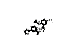 CC(NNC(=O)c1cc(N)ccc1NC1CC1)c1cccc(-c2nccs2)c1